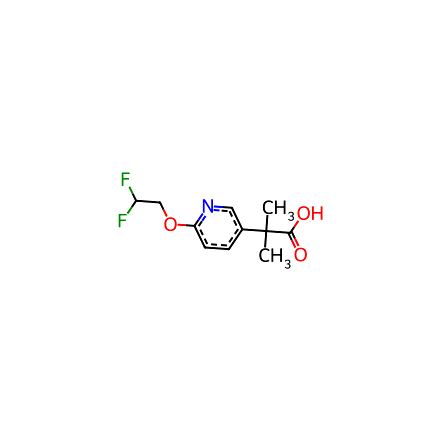 CC(C)(C(=O)O)c1ccc(OCC(F)F)nc1